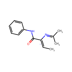 C/C=C(\N=C(C)C)C(=O)Nc1ccccc1